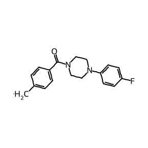 [CH2]c1ccc(C(=O)N2CCN(c3ccc(F)cc3)CC2)cc1